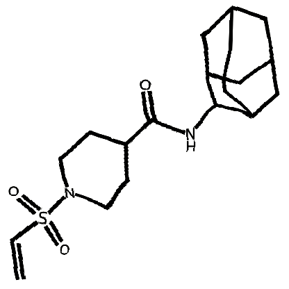 C=CS(=O)(=O)N1CCC(C(=O)NC2C3CC4CC(C3)CC2C4)CC1